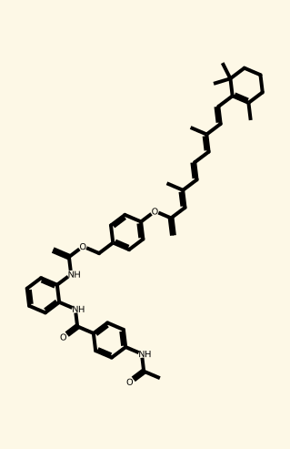 C=C(/C=C(C)/C=C/C=C(C)/C=C/C1=C(C)CCCC1(C)C)Oc1ccc(COC(=C)Nc2ccccc2NC(=O)c2ccc(NC(C)=O)cc2)cc1